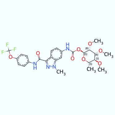 CO[C@@H]1[C@@H](OC)[C@H](C)O[C@@H](OC(=O)Nc2ccc3c(C(=O)Nc4ccc(OC(F)(F)F)cc4)nn(C)c3c2)[C@@H]1OC